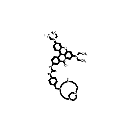 CCN(CC)c1ccc2c(-c3ccc(NC(=S)Nc4ccc(CN5CCCN6CCN(CCCNCC5)CC6)cc4)cc3C(=O)O)c3ccc(=[N+](CC)CC)cc-3oc2c1